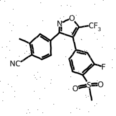 Cc1cc(-c2noc(C(F)(F)F)c2-c2ccc(S(C)(=O)=O)c(F)c2)ccc1C#N